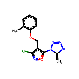 C=C1NN=NN1c1onc(Cl)c1COc1ccccc1C